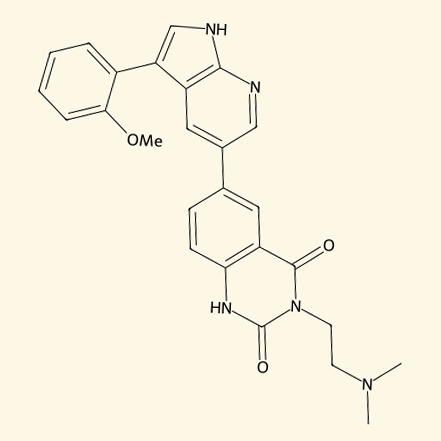 COc1ccccc1-c1c[nH]c2ncc(-c3ccc4[nH]c(=O)n(CCN(C)C)c(=O)c4c3)cc12